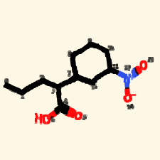 CCCC(C(=O)O)C1CCCC([N+](=O)[O-])C1